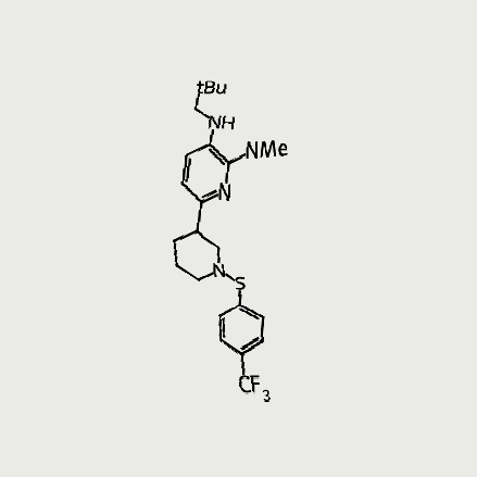 CNc1nc(C2CCCN(Sc3ccc(C(F)(F)F)cc3)C2)ccc1NCC(C)(C)C